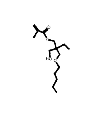 C=C(C)C(=O)OCC(CC)(CO)COCCCCC